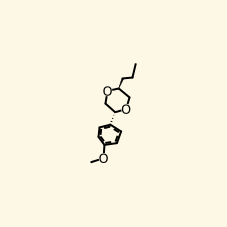 CCC[C@H]1CO[C@H](c2ccc(OC)cc2)CO1